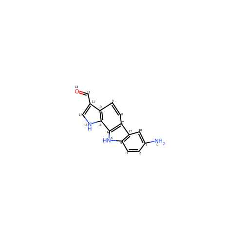 Nc1ccc2[nH]c3c(ccc4c(C=O)c[nH]c43)c2c1